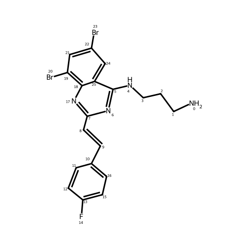 NCCCNc1nc(/C=C/c2ccc(F)cc2)nc2c(Br)cc(Br)cc12